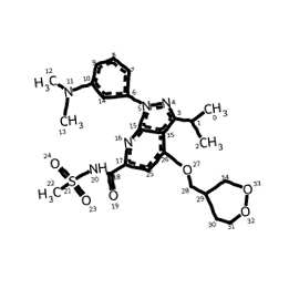 CC(C)c1nn(-c2cccc(N(C)C)c2)c2nc(C(=O)NS(C)(=O)=O)cc(OCC3CCOOC3)c12